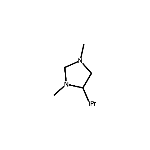 CC(C)C1CN(C)CN1C